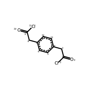 O=C(Cl)Cc1ccc(CC(=O)Cl)cc1